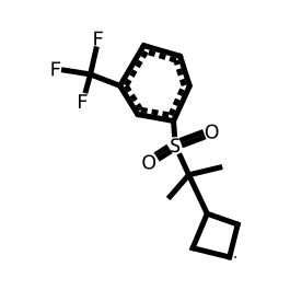 CC(C)(C1C[CH]C1)S(=O)(=O)c1cccc(C(F)(F)F)c1